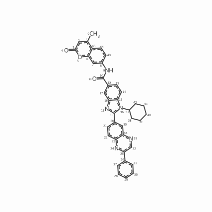 Cc1cc(=O)oc2cc(NC(=O)c3ccc4c(c3)nc(-c3ccc5nc(-c6ccccc6)cnc5c3)n4C3CCCCC3)ccc12